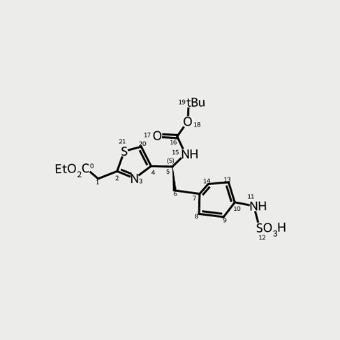 CCOC(=O)Cc1nc([C@H](Cc2ccc(NS(=O)(=O)O)cc2)NC(=O)OC(C)(C)C)cs1